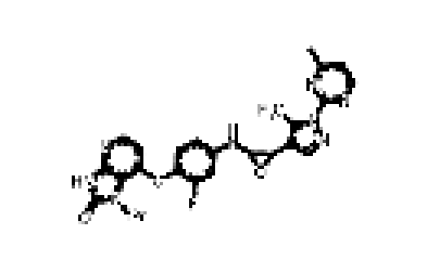 Cc1ccnc(-n2ncc(C3OC3Nc3ccc(Oc4ccnc5[nH]c(=O)n(C(C)C)c45)c(F)c3)c2C(F)(F)F)n1